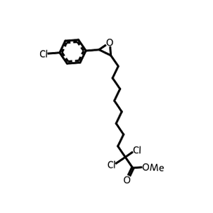 COC(=O)C(Cl)(Cl)CCCCCCCCC1OC1c1ccc(Cl)cc1